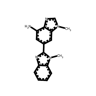 Cn1cnc2c(N)cc(-c3nc4ccccc4n3C)cc21